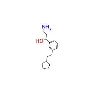 NCCC(O)c1cccc(CCC2CCCC2)c1